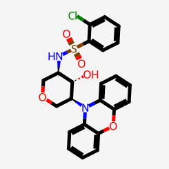 O=S(=O)(N[C@@H]1COC[C@H](N2c3ccccc3Oc3ccccc32)[C@H]1O)c1ccccc1Cl